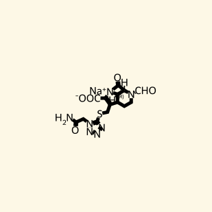 NC(=O)Cn1nnnc1SCC1=C(C(=O)[O-])N2C(=O)[C@@H]3[C@H]2C1CCN3C=O.[Na+]